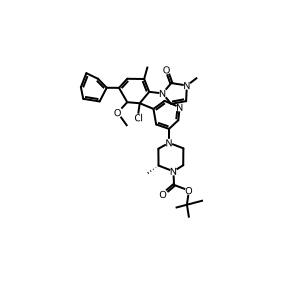 COC1C(c2ccccc2)=CC(C)=C(n2ccn(C)c2=O)C1(Cl)c1cncc(N2CCN(C(=O)OC(C)(C)C)[C@H](C)C2)c1